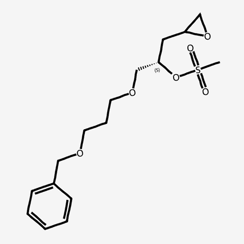 CS(=O)(=O)O[C@H](COCCCOCc1ccccc1)CC1CO1